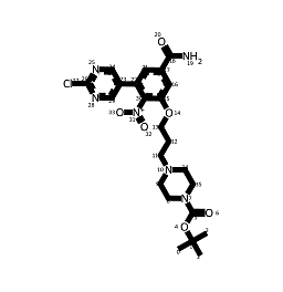 CC(C)(C)OC(=O)N1CCN(CCCOc2cc(C(N)=O)cc(-c3cnc(Cl)nc3)c2[N+](=O)[O-])CC1